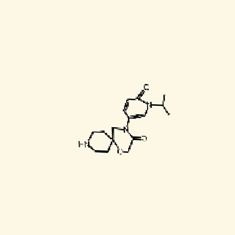 CC(C)n1cc(N2CC3(CCNCC3)OCC2=O)ccc1=O